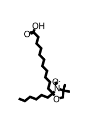 CCCCCCC1(CCCCCCCCCCC(=O)O)OCC(C)(C)N1[O]